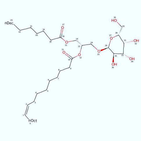 CCCCCCCC/C=C\CCCCCCCC(=O)O[C@H](COC(=O)CCCCCCCCCCCCCCC)CO[C@H]1O[C@H](CO)[C@H](O)[C@H](O)[C@H]1O